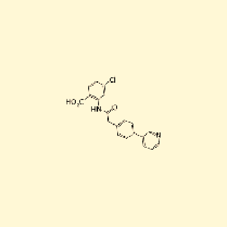 O=C(Cc1ccc(-c2cccnc2)cc1)Nc1cc(Cl)ccc1C(=O)O